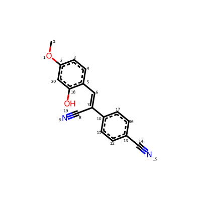 COc1ccc(/C=C(\C#N)c2ccc(C#N)cc2)c(O)c1